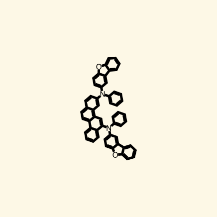 c1ccc(N(c2ccc3ccc4c5ccccc5c(N(c5ccccc5)c5ccc6oc7ccccc7c6c5)cc4c3c2)c2ccc3oc4ccccc4c3c2)cc1